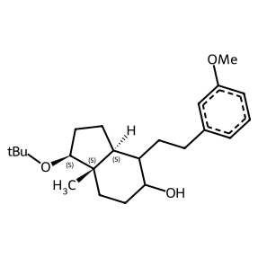 COc1cccc(CCC2C(O)CC[C@]3(C)[C@@H](OC(C)(C)C)CC[C@@H]23)c1